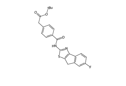 CC(C)(C)OC(=O)Cc1ccc(C(=O)Nc2nc3c(s2)Cc2cc(F)ccc2-3)cc1